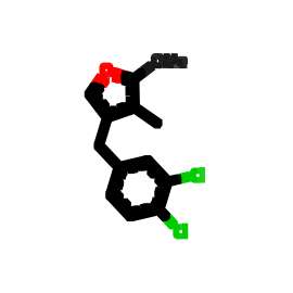 COc1occ(Cc2ccc(Cl)c(Cl)c2)c1C